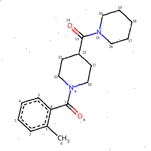 Cc1ccccc1C(=O)N1CCC(C(=O)N2CCCCC2)CC1